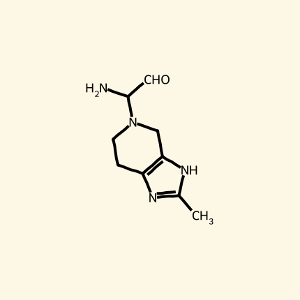 Cc1nc2c([nH]1)CN(C(N)C=O)CC2